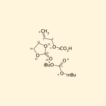 C=CCOC(=O)O.CCCCOC(=O)OCC(C)C.O=C1OCCO1